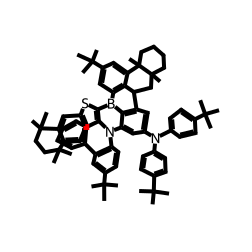 CC(C)(C)c1ccc(N(c2ccc(C(C)(C)C)cc2)c2cc3c4c(c2)N(c2ccc(C(C)(C)C)cc2-c2ccccc2)c2c(sc5cc6c(cc25)C(C)(C)CCC6(C)C)B4c2cc(C(C)(C)C)cc4c2C3CC2(C)CCCCC42C)cc1